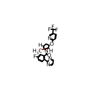 C[C@H]1[C@@H]2C[C@H](Oc3ccc(C(F)(F)F)cn3)[C@@H](C2)N1C(=O)c1cc(F)ccc1-c1ncccn1